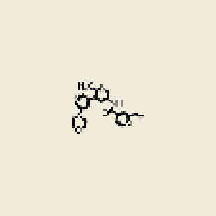 Cc1ncc(NC(=O)c2ccnc(CF)c2)cc1-c1cncc(N2CCOCC2)c1